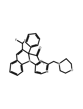 NC(=O)C1(c2ccccc2)C(C(F)F)=Cc2ccccc2N1c1ccnc(CN2CCOCC2)n1